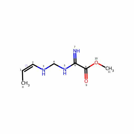 C/C=C\NCNC(=N)C(=O)OC